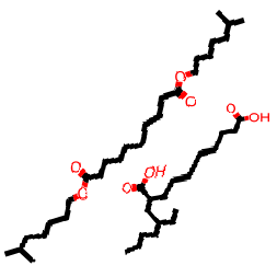 CC(C)CCCCCOC(=O)CCCCCCCCC(=O)OCCCCCC(C)C.CCCCC(CC)CC(CCCCCCCC(=O)O)C(=O)O